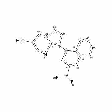 Cc1cnc2c(-c3cc(C(F)F)nc4ccccc34)cnn2c1